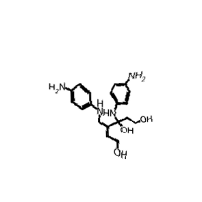 Nc1ccc(NCC(CCO)C(O)(CCO)Nc2ccc(N)cc2)cc1